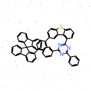 c1ccc(-c2nc(-c3ccccc3)nc(-c3cccc4sc5ccc(-c6ccc(-c7cccc8c7C7(c9ccccc9-c9ccccc97)c7ccccc7-8)cc6)cc5c34)n2)cc1